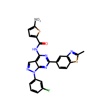 Cc1nc2cc(-c3nc(NC(=O)c4ccc([N+](=O)[O-])s4)c4cnn(-c5cccc(F)c5)c4n3)ccc2s1